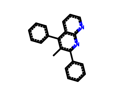 Cc1c(-c2ccccc2)nc2ncccc2c1-c1ccccc1